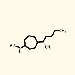 CCCC[C@H](C)C1CCCC(NC)CC1